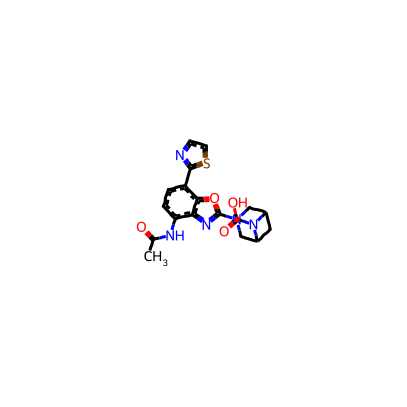 CC(=O)Nc1ccc(-c2nccs2)c2oc(N3CC4CC(C3)N4C(=O)O)nc12